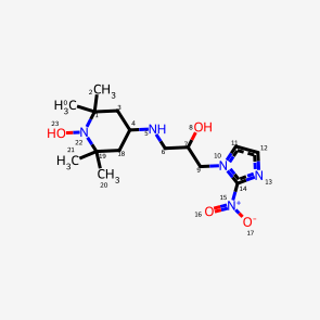 CC1(C)CC(NCC(O)Cn2ccnc2[N+](=O)[O-])CC(C)(C)N1O